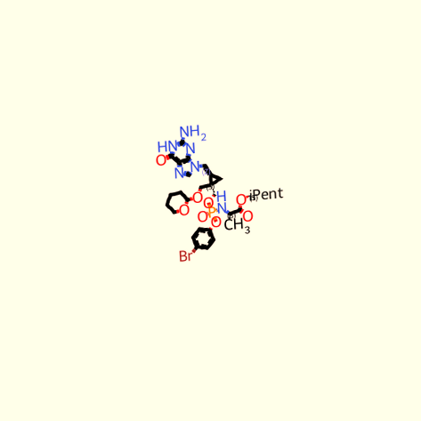 CCC[C@H](C)OC(=O)[C@H](C)NP(=O)(OC[C@@]1(COC2CCCCO2)C/C1=C/n1cnc2c(=O)[nH]c(N)nc21)Oc1ccc(Br)cc1